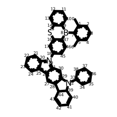 Cc1cccc(C)c1B1c2ccccc2Sc2cc(-n3c4ccccc4c4cc5c(cc43)N(c3ccccc3)C3C=CC=CC53)ccc21